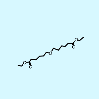 CCOC(=O)CCCCCOCCCCCC(=O)OCC